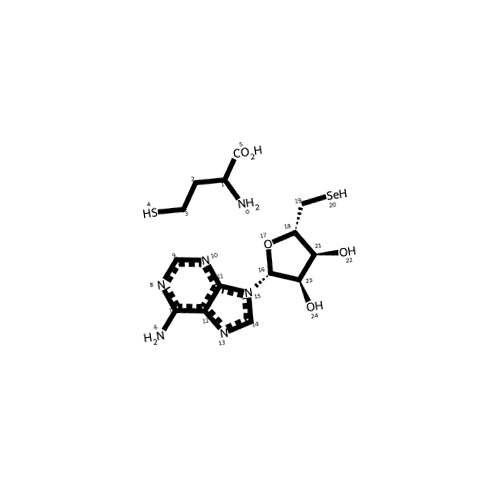 NC(CCS)C(=O)O.Nc1ncnc2c1ncn2[C@@H]1O[C@H](C[SeH])[C@@H](O)[C@H]1O